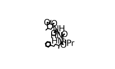 CC(C)C[C@H](NC(=O)C(C)CCc1ccccc1)C(=O)NCC(=O)NC1CC(C)C2OC2(C)C1=O